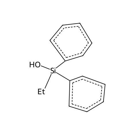 CC[Si](O)(c1ccccc1)c1ccccc1